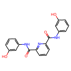 O=C(Nc1cccc(O)c1)c1cccc(C(=O)Nc2cccc(O)c2)n1